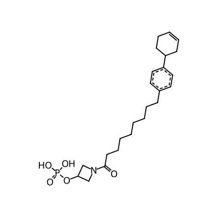 O=C(CCCCCCCCc1ccc(C2CC=CCC2)cc1)N1CC(OP(=O)(O)O)C1